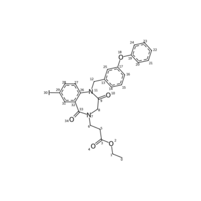 CCOC(=O)CCN1CC(=O)N(Cc2cccc(Oc3ccccc3)c2)c2ccc(I)cc2C1=O